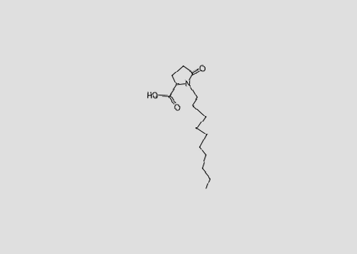 CCCCCCCCCCN1C(=O)CCC1C(=O)O